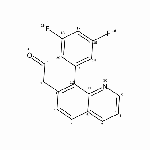 O=CCc1ccc2cccnc2c1-c1cc(F)cc(F)c1